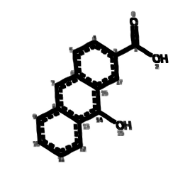 O=C(O)c1ccc2cc3ccccc3c(O)c2c1